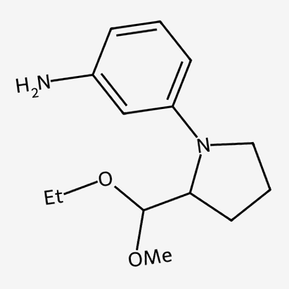 CCOC(OC)C1CCCN1c1cccc(N)c1